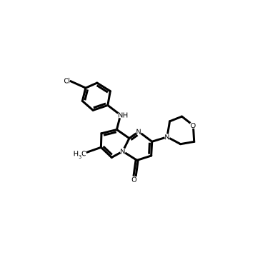 Cc1cc(Nc2ccc(Cl)cc2)c2nc(N3CCOCC3)cc(=O)n2c1